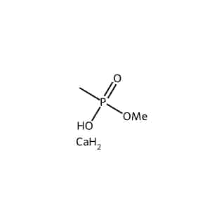 COP(C)(=O)O.[CaH2]